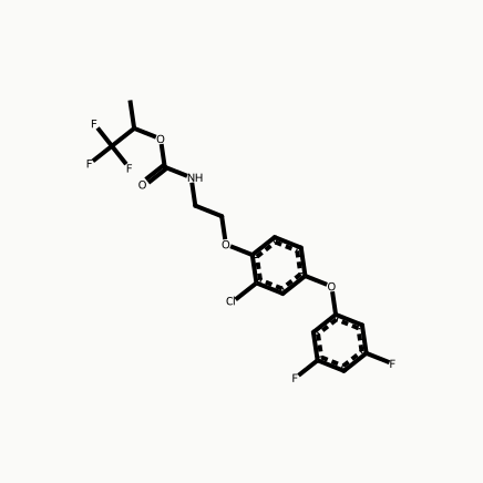 CC(OC(=O)NCCOc1ccc(Oc2cc(F)cc(F)c2)cc1Cl)C(F)(F)F